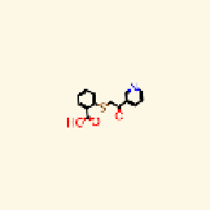 O=C(CSc1ccccc1C(=O)O)c1cccnc1